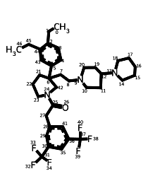 CCc1ccc(C2(CCN3CCC(N4CCCCC4)CC3)CCCN(C(=O)Cc3cc(C(F)(F)F)cc(C(F)(F)F)c3)C2)cc1CC